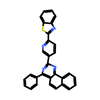 c1ccc(-c2nc(-c3ccc(-c4nc5ccccc5s4)nc3)nc3c2ccc2ccccc23)cc1